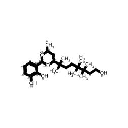 CC1CC(C(C)(C)CCC(C)(C)C(C)(C)CCO)OC(c2cccc(O)c2O)O1